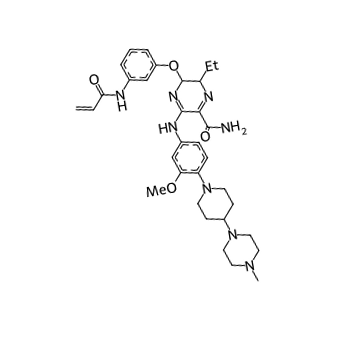 C=CC(=O)Nc1cccc(OC2N=C(Nc3ccc(N4CCC(N5CCN(C)CC5)CC4)c(OC)c3)C(C(N)=O)=NC2CC)c1